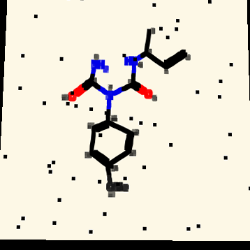 C=CC(C)NC(=O)N(C(N)=O)c1ccc(OC)cc1